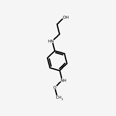 CONc1ccc(NCCO)cc1